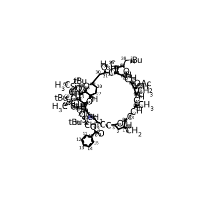 C=C1CC2CCC(OC(=O)c3ccccc3)/C=C/[C@H](O[Si](C)(C)C(C)(C)C)[C@@H]3O[C@H]4CCC(CC(=O)C[C@@H]5[C@@H](C)[C@@H](C[C@H](C)CC)O[C@H]5C[C@@H](OC(C)=O)C(=C)[C@H](C)C[C@H](C)CC[C@@H]1O2)O[C@@H]4[C@H](O[Si](C)(C)C(C)(C)C)[C@@H]3O[Si](C)(C)C(C)(C)C